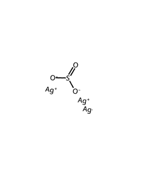 O=S([O-])[O-].[Ag+].[Ag+].[Ag]